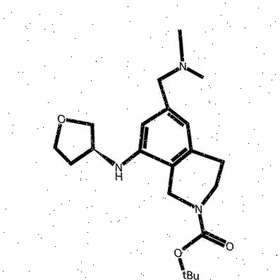 CN(C)Cc1cc2c(c(N[C@H]3CCOC3)c1)CN(C(=O)OC(C)(C)C)CC2